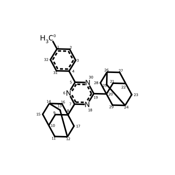 Cc1ccc(-c2nc(C34CC5CC(CC(C5)C3)C4)nc(C34CC5CC(CC(C5)C3)C4)n2)cc1